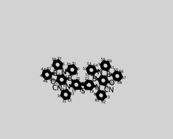 N#Cc1c2c3c4c5c1N(c1ccccc1)c1cc6sc7cc8c(cc7c6cc1B5c1ccccc1N4c1ccccc1B3c1ccccc1O2)B1c2ccccc2N2c3ccccc3B3c4ccccc4Oc4c(C#N)c(c1c2c43)N8c1ccccc1